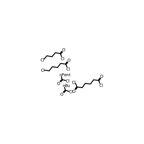 CCCCC(=O)Cl.CCCCCC(=O)Cl.O=C(Cl)CCCCC(=O)Cl.O=C(Cl)CCCCCl.O=C(Cl)CCCCl